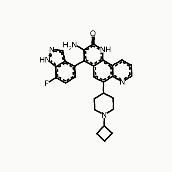 Nc1c(-c2ccc(F)c3[nH]ncc23)c2cc(C3CCN(C4CCC4)CC3)c3ncccc3c2[nH]c1=O